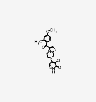 COc1ccc(C(=O)c2cnc3n2CCN(c2cn[nH]c(=O)c2Cl)C3)c(C)c1